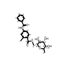 Cc1cc(NC(=O)c2ccccc2)ccc1C(=O)OC[C@H]1OC(C)[C@H](O)[C@@H](O)[C@@H]1O